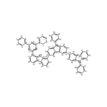 C1=CCCC(c2nc(-c3ccccc3)nc(-c3cccc4c3oc3c(-c5ccc6c(c5)c5cc(-c7ccc8c(c7)c7ccccc7n8-c7ccccc7)ccc5n6-c5ccccc5)cccc34)n2)=C1